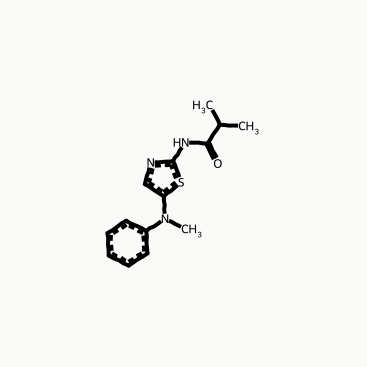 CC(C)C(=O)Nc1ncc(N(C)c2ccccc2)s1